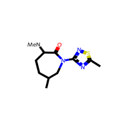 CNC1CCC(C)CN(c2nsc(C)n2)C1=O